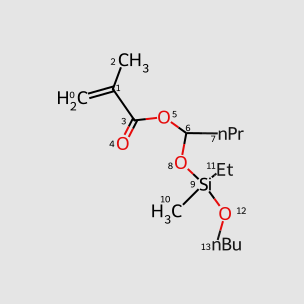 C=C(C)C(=O)OC(CCC)O[Si](C)(CC)OCCCC